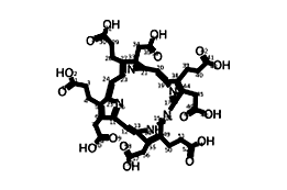 O=C(O)CCC1=C(CC(=O)O)c2cc3[nH]c(nc4nc(cc5[nH]c(cc1n2)c(CCC(=O)O)c5CC(=O)O)C(CCC(=O)O)=C4CC(=O)O)c(CCC(=O)O)c3CC(=O)O